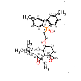 COC1C(OCCP(=O)(c2ccc(C)cc2)c2ccc(C)cc2)CC[C@]2(CO2)C1[C@@]1(C)O[C@@H]1CC=C(C)C